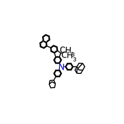 CC1(C)c2ccc(-c3cccc4ccccc34)cc2-c2ccc(N(c3ccc(C4CC5CCC4C5)cc3)c3ccc(C45CC6CC(CC(C6)C4)C5)cc3)cc21